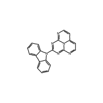 C1=CC2=CC=NC3=NC(n4c5ccccc5c5ccccc54)=NC(=N1)N23